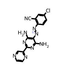 N#Cc1cc(Cl)ccc1/N=N/c1c(N)nc(-c2cnccn2)nc1N